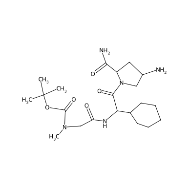 CN(CC(=O)NC(C(=O)N1CC(N)CC1C(N)=O)C1CCCCC1)C(=O)OC(C)(C)C